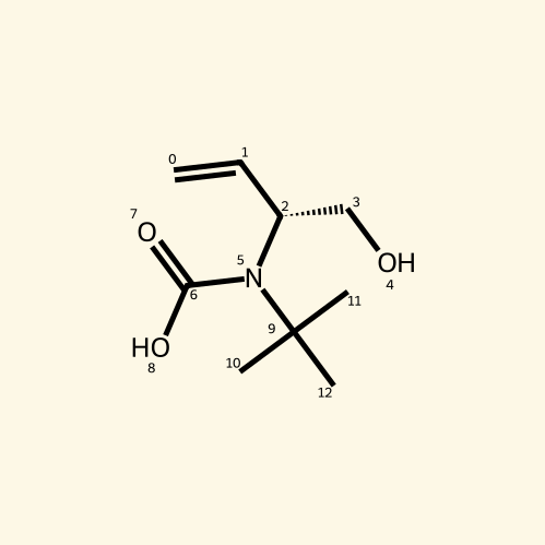 C=C[C@H](CO)N(C(=O)O)C(C)(C)C